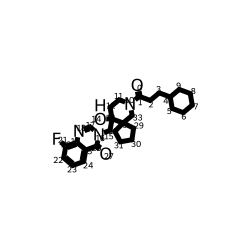 O=C(CCC1CCCCC1)N1CCC(O)(Cn2cnc3c(F)cccc3c2=O)C2(CCCC2)C1